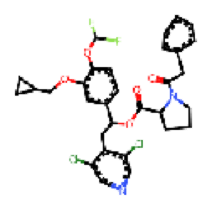 O=C(OC(Cc1c(Cl)cncc1Cl)c1ccc(OC(F)F)c(OCC2CC2)c1)C1CCCN1C(=O)Cc1ccccc1